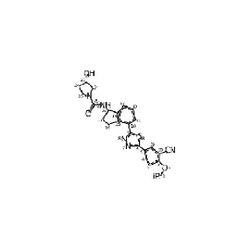 CC(C)Oc1ccc(-c2nnc(-c3cccc4c3CCC4NC(=O)N3CC[C@H](O)C3)s2)cc1C#N